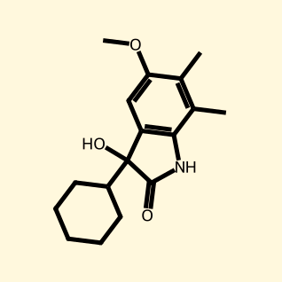 COc1cc2c(c(C)c1C)NC(=O)C2(O)C1CCCCC1